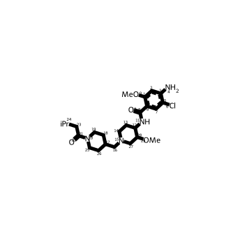 COc1cc(N)c(Cl)cc1C(=O)NC1CCN(CC2CCN(C(=O)CC(C)C)CC2)CC1OC